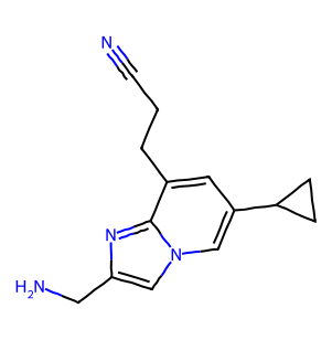 N#CCCc1cc(C2CC2)cn2cc(CN)nc12